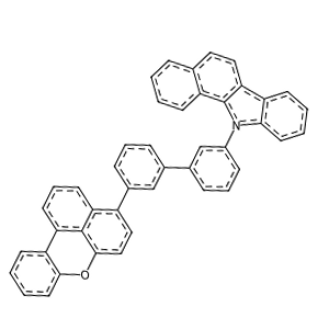 c1cc(-c2cccc(-n3c4ccccc4c4ccc5ccccc5c43)c2)cc(-c2ccc3c4c(cccc24)-c2ccccc2O3)c1